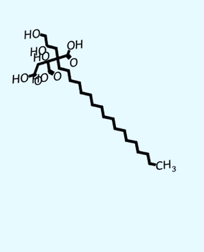 CCCCCCCCCCCCCCCCCCC(CC(O)CO)(C(=O)O)C(O)(CC(=O)O)C(=O)O